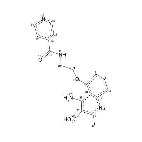 Cc1nc2cccc(OCCNC(=O)c3ccncc3)c2c(N)c1C(=O)O